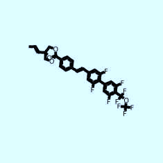 C/C=C/C12COC(c3ccc(/C=C/c4cc(F)c(-c5cc(F)c(C(F)(F)OC(F)(F)F)c(F)c5)c(F)c4)cc3)(OC1)O2